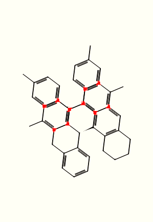 Cc1ccc(P(c2ccc(C)cc2)c2ccc3c(c2[C@H]2c4ccccc4CCC2P(c2ccc(C)cc2)c2ccc(C)cc2)CCCC3)cc1